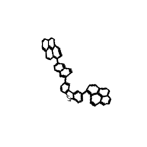 c1cc2ccc3ccc(-c4ccc5cc(-c6ccc7sc8ccc(-c9ccc%10ccc%11cccc%12ccc9c%10c%11%12)cc8c7c6)ccc5c4)c4ccc(c1)c2c34